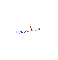 CC(C)(C)CC(=O)/C=C/CN